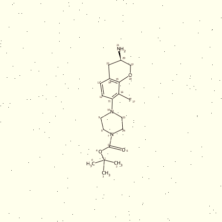 CC(C)(C)OC(=O)N1CCN(c2ccc3c(c2F)OC[C@H](N)C3)CC1